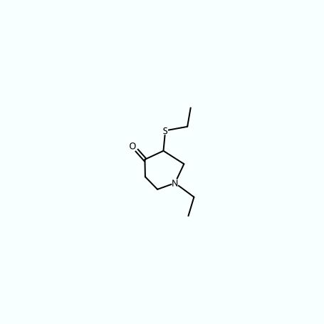 CCSC1CN(CC)CCC1=O